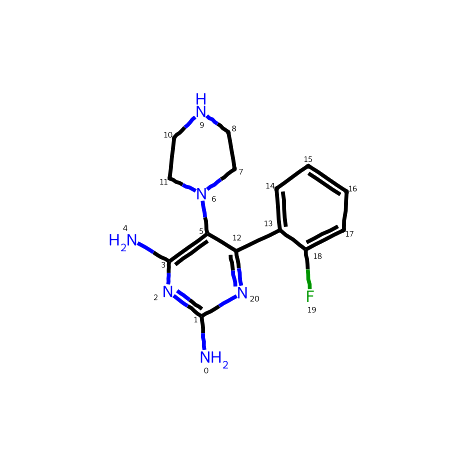 Nc1nc(N)c(N2CCNCC2)c(-c2ccccc2F)n1